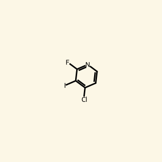 Fc1nccc(Cl)c1I